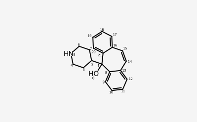 OC1(C2CCNCC2)c2ccccc2C=Cc2ccccc21